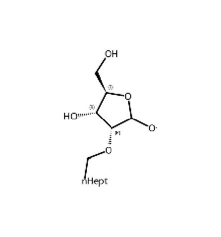 CCCCCCCCO[C@H]1C([O])O[C@H](CO)[C@H]1O